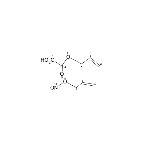 C=CCOC(=O)C(=O)O.C=CCON=O